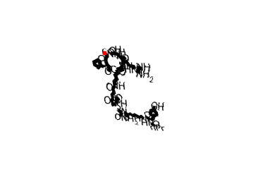 CCCC(=O)NC(Cc1ccc(O)cc1)C(=O)NCCCCCC(=O)NC(CSC1CC(=O)N(CCC(=O)NCCCCC2CC(=O)[C@@H](Cc3ccccc3)CC(=O)C(CC(=O)O)NC(=O)CNC(=O)C(CCCNC(=N)N)NC2=O)C1=O)C(N)=O